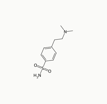 CN(C)CCc1ccc(S(N)(=O)=O)cc1